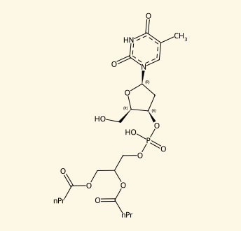 CCCC(=O)OCC(COP(=O)(O)O[C@@H]1C[C@H](n2cc(C)c(=O)[nH]c2=O)O[C@@H]1CO)OC(=O)CCC